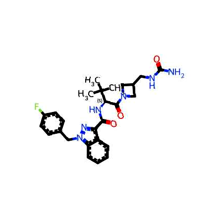 CC(C)(C)[C@H](NC(=O)c1nn(Cc2ccc(F)cc2)c2ccccc12)C(=O)N1CC(CNC(N)=O)C1